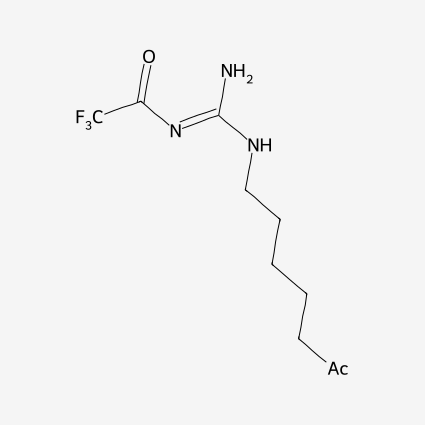 CC(=O)CCCCCNC(N)=NC(=O)C(F)(F)F